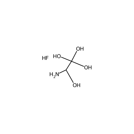 F.NC(O)C(O)(O)O